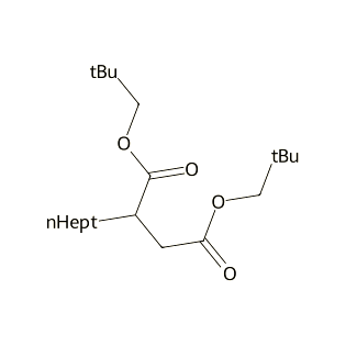 CCCCCCCC(CC(=O)OCC(C)(C)C)C(=O)OCC(C)(C)C